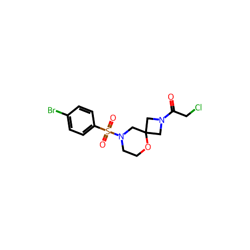 O=C(CCl)N1CC2(C1)CN(S(=O)(=O)c1ccc(Br)cc1)CCO2